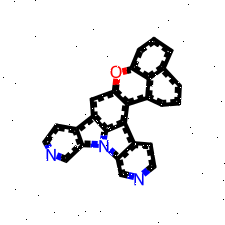 c1cc2cccc3c2c(c1)oc1cc2c4ccncc4n4c5cnccc5c(c13)c24